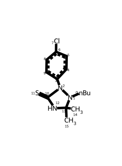 CCCCN1N(c2ccc(Cl)cc2)C(=S)NC1(C)C